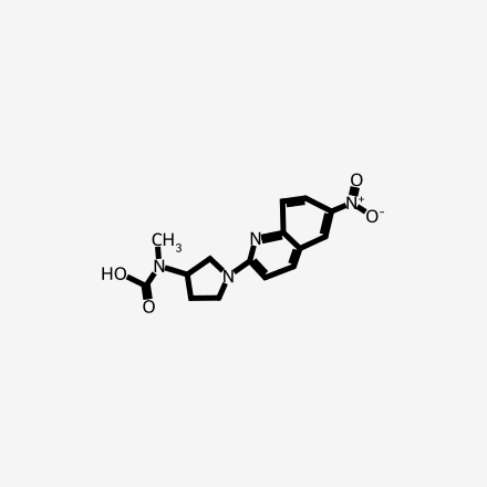 CN(C(=O)O)C1CCN(c2ccc3cc([N+](=O)[O-])ccc3n2)C1